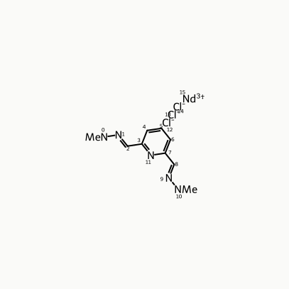 CNN=Cc1cccc(C=NNC)n1.[Cl-].[Cl-].[Cl-].[Nd+3]